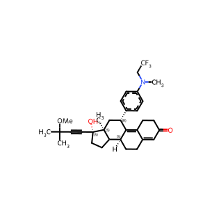 COC(C)(C)C#C[C@]1(O)CCC2[C@@H]3CCC4=CC(=O)CCC4=C3[C@@H](c3ccc(N(C)CC(F)(F)F)cc3)C[C@@]21C